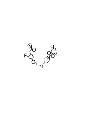 CC1(OC(=O)N2CCC([C@H]3C[C@@H]3CCOc3ccc(CC(=O)N4CCC4)c(F)c3)CC2)CC1